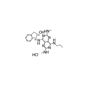 CCCNc1nc(NC)nc2c(N[C@@H]3c4ccccc4C[C@@H]3O)nc(NC)nc12.Cl